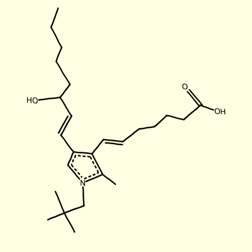 CCCCCC(O)C=Cc1cn(CC(C)(C)C)c(C)c1C=CCCCCC(=O)O